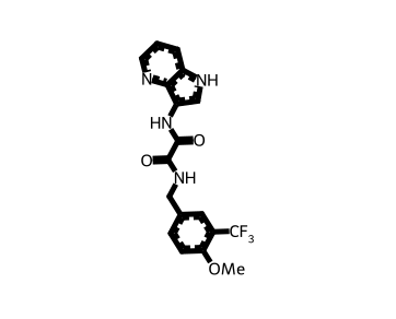 COc1ccc(CNC(=O)C(=O)Nc2c[nH]c3cccnc23)cc1C(F)(F)F